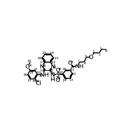 CCCCOCCCNC(=O)c1cccc(S(=O)(=O)Nc2nc3ccccc3nc2Nc2cc(OC)ccc2Cl)c1